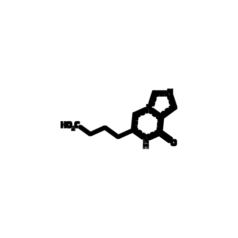 O=C(O)CCCc1cn2cncc2c(=O)[nH]1